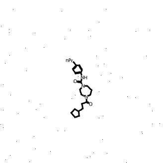 CCCc1ccc(NC(=O)N2CCCN(C(=O)CCC3CCCC3)CC2)cc1